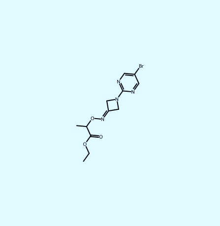 CCOC(=O)C(C)ON=C1CN(c2ncc(Br)cn2)C1